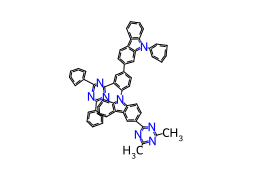 Cc1nc(C)nc(-c2ccc3c(c2)c2ccccc2n3-c2ccc(-c3ccc4c5ccccc5n(-c5ccccc5)c4c3)cc2-c2nc(-c3ccccc3)nc(-c3ccccc3)n2)n1